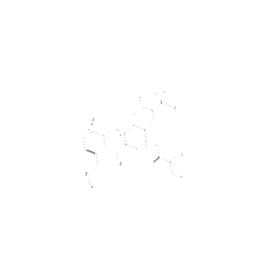 CCCNCC1=CC[C@@H](N)[C@@H](O[C@@H]2C(CN)C[C@@H](NC(=O)[C@@H](O)CN)[C@H](OC(OCC)C(N)[C@H](C)CC)[C@H]2O)O1